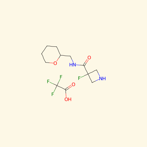 O=C(NCC1CCCCO1)C1(F)CNC1.O=C(O)C(F)(F)F